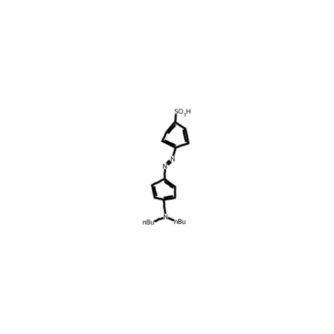 CCCCN(CCCC)c1ccc(N=Nc2ccc(S(=O)(=O)O)cc2)cc1